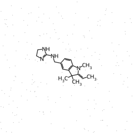 CC=C1N(C)c2ccc(CNC3=NCCN3)cc2C1(C)C